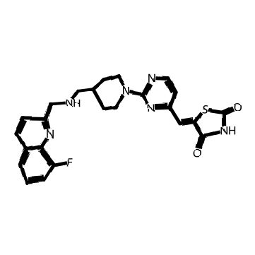 O=C1NC(=O)/C(=C/c2ccnc(N3CCC(CNCc4ccc5cccc(F)c5n4)CC3)n2)S1